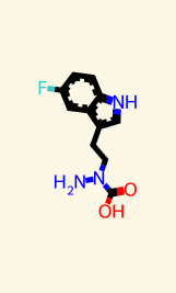 NN(CCc1c[nH]c2ccc(F)cc12)C(=O)O